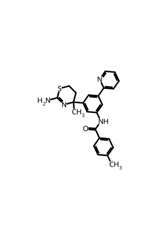 Cc1ccc(C(=O)Nc2cc(-c3ccccn3)cc(C3(C)CCSC(N)=N3)c2)cc1